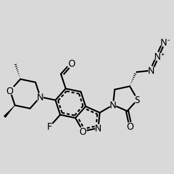 C[C@@H]1CN(c2c(C=O)cc3c(N4C[C@H](CN=[N+]=[N-])SC4=O)noc3c2F)C[C@@H](C)O1